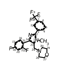 Cn1c(-c2cccc(C(F)(F)F)c2)nc(-c2ccc(F)cc2F)c1CN1CCOCC1